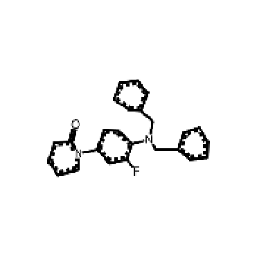 O=c1ccccn1-c1ccc(N(Cc2ccccc2)Cc2ccccc2)c(F)c1